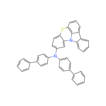 c1ccc(-c2ccc(N(c3ccc(-c4ccccc4)cc3)c3ccc4c(c3)-n3c5ccccc5c5cccc(c53)S4)cc2)cc1